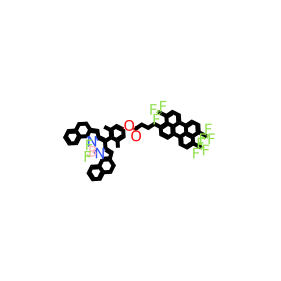 Cc1cc(OC(=O)CCCc2ccc3c4ccc(C(F)(F)F)c5c(C(F)(F)F)ccc(c6ccc(C(F)(F)F)c2c36)c54)cc(C)c1/C(=C1\C=C2CCc3ccccc3C2=N1)c1cc2c(n1B(F)F)-c1ccccc1CC2